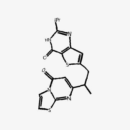 CC(C)c1nc2cc(CC(C)c3cc(=O)n4ccsc4n3)sc2c(=O)[nH]1